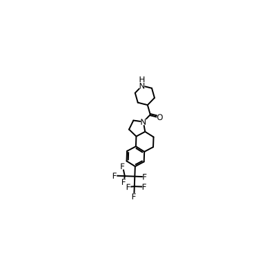 O=C(C1CCNCC1)N1CCC2c3ccc(C(F)(C(F)(F)F)C(F)(F)F)cc3CCC21